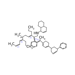 C/C=C\C=C(/CCC)[C@H](C)C/C=C(CCC)/C(CNC1C=CCC2CCCCC21)=c1\cccc\c1=C(\C)C1=CC=C(C2CC=CC(c3ccccc3)C2)CC1